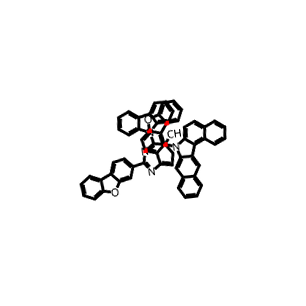 CC1C/C=C(c2ccc3oc4ccccc4c3c2-n2c3cc4ccccc4cc3c3c4ccccc4ccc32)/N=C(c2ccc3c(c2)oc2ccccc23)\N=C/1n1c2ccccc2c2ccccc21